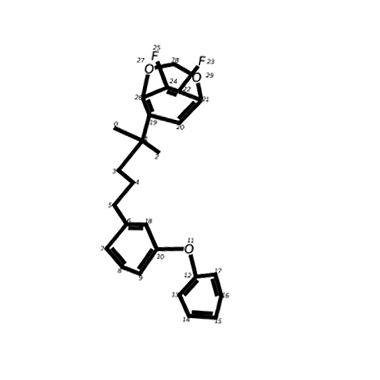 CC(C)(CCCc1cccc(Oc2ccccc2)c1)c1cc2c(F)c(F)c1OCO2